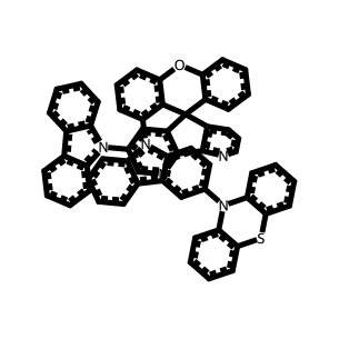 c1ccc2c(c1)Oc1cccc(-n3c4ccccc4c4cc(N5c6ccccc6Sc6ccccc65)ccc43)c1C21c2cccnc2-c2ncc(-n3c4ccccc4c4ccccc43)cc21